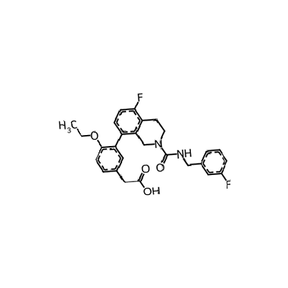 CCOc1ccc(CC(=O)O)cc1-c1ccc(F)c2c1CN(C(=O)NCc1cccc(F)c1)CC2